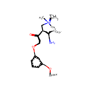 CCCCCCOc1cccc(OCC(=O)C(C[N+](C)(C)C)C(N)C(=O)[O-])c1